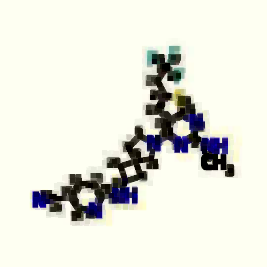 CNc1nc(N2CCC3(CC(Nc4ccc(C#N)cn4)C3)C2)c2cc(CC(F)(F)F)sc2n1